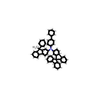 CC1(c2ccccc2)c2ccccc2-c2ccc(N(c3ccc(-c4ccccc4)cc3)c3ccc4c(c3)C3(c5ccccc5-c5ccccc53)c3ccccc3-4)cc21